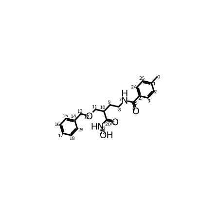 Cc1ccc(C(=O)NCCC(COCc2ccccc2)C(=O)NO)cc1